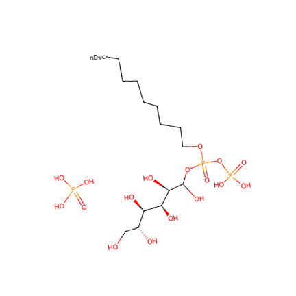 CCCCCCCCCCCCCCCCCCOP(=O)(OC(O)[C@H](O)[C@@H](O)[C@H](O)[C@H](O)CO)OP(=O)(O)O.O=P(O)(O)O